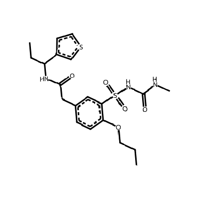 CCCOc1ccc(CC(=O)NC(CC)c2ccsc2)cc1S(=O)(=O)NC(=O)NC